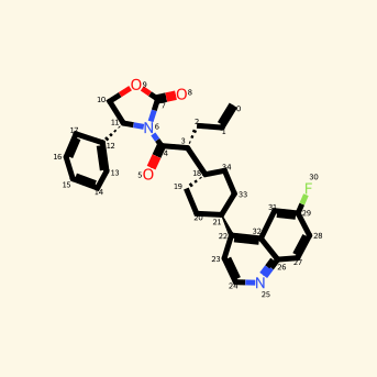 C=CC[C@@H](C(=O)N1C(=O)OC[C@H]1c1ccccc1)[C@H]1CC[C@H](c2ccnc3ccc(F)cc32)CC1